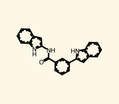 O=C(Nc1cc2ccccc2[nH]1)c1cccc(-c2cc3ccccc3[nH]2)c1